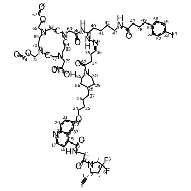 C#C[C@H]1CC(F)(F)CN1C(=O)CNC(=O)c1ccnc2ccc(OCCCCC3CCN(C(=O)CC/C=N\NC(CCCCNC(=O)CCCc4ccc(I)cc4)NC(=O)CN4CCN(COC=O)CCN(COC=O)CCN(CC(=O)O)CC4)CC3)cc12